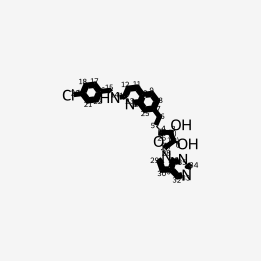 O[C@@H]1[C@H](O)[C@@H](CCc2ccc3ccc(NCc4ccc(Cl)cc4)nc3c2)O[C@H]1n1ccc2cncnc21